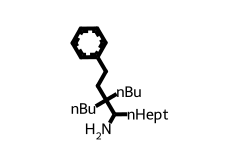 CCCCCCCC(N)C(CCCC)(CCCC)CCc1ccccc1